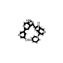 COc1cncc(-c2cc3c(-c4nc5c(N6CCCCC6)cncc5[nH]4)n[nH]c3cn2)c1